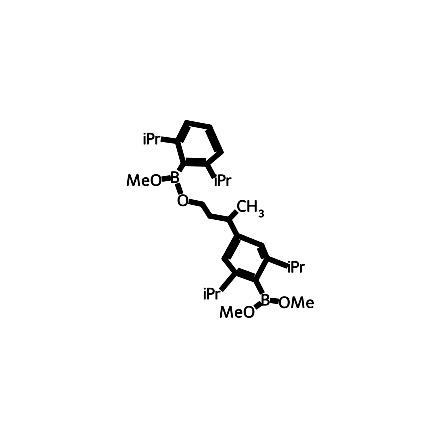 COB(OC)c1c(C(C)C)cc(C(C)CCOB(OC)c2c(C(C)C)cccc2C(C)C)cc1C(C)C